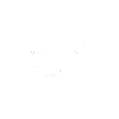 COc1cc(/C=C/c2cccc(F)n2)c(F)c(OC)c1C(C)C